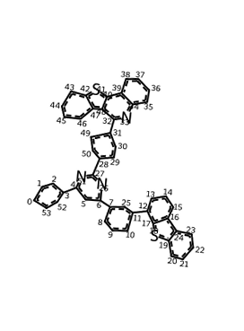 c1ccc(-c2cc(-c3cccc(-c4cccc5c4sc4ccccc45)c3)nc(-c3ccc(-c4nc5ccccc5c5sc6ccccc6c45)cc3)n2)cc1